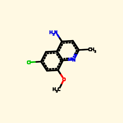 COc1cc(Cl)cc2c(N)cc(C)nc12